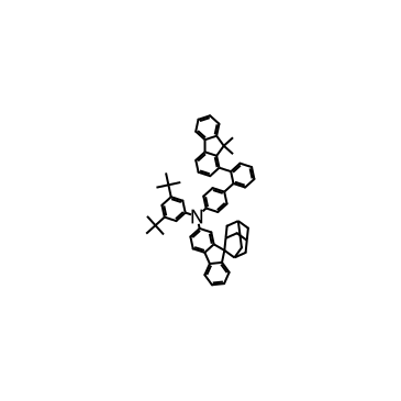 CC(C)(C)c1cc(N(c2ccc(-c3ccccc3-c3cccc4c3C(C)(C)c3ccccc3-4)cc2)c2ccc3c(c2)C2(c4ccccc4-3)C3CC4CC(C3)CC2C4)cc(C(C)(C)C)c1